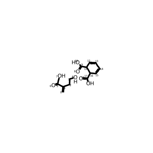 C=C(CCO)C(=O)O.O=C(O)C1C=CC=CC1C(=O)O